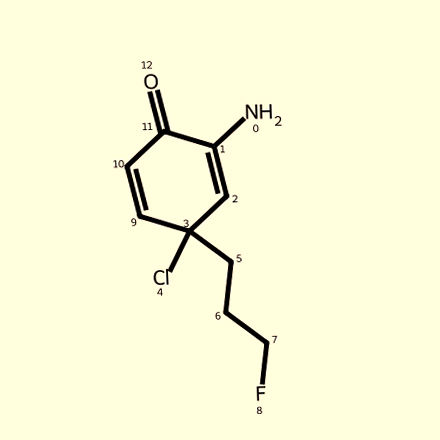 NC1=CC(Cl)(CCCF)C=CC1=O